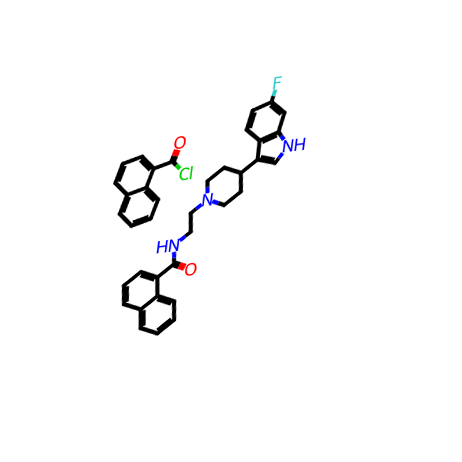 O=C(Cl)c1cccc2ccccc12.O=C(NCCN1CCC(c2c[nH]c3cc(F)ccc23)CC1)c1cccc2ccccc12